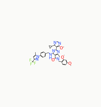 COc1ccc(CN2Cc3nc(-c4c(OC)ncnc4C4CC4)nc(NCc4ccc(-n5nc(C(F)(F)F)cc5C)cc4)c3C2=O)c(OC)c1